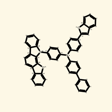 c1ccc(-c2ccc(N(c3ccc(-c4cc5ccccc5o4)cc3)c3ccc(-n4c5ccccc5c5ccc6c7ccccc7oc6c54)cc3)cc2)cc1